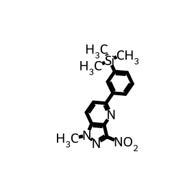 Cn1nc([N+](=O)[O-])c2nc(-c3cccc([Si](C)(C)C)c3)ccc21